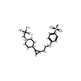 CS(=O)(=O)c1ccc(OCCC2CC2C2CCN(CC(F)(F)F)CC2)cc1